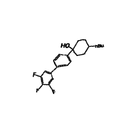 CCCCC1CCC(O)(c2ccc(-c3cc(F)c(F)c(F)c3)cc2)CC1